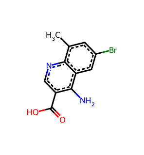 Cc1cc(Br)cc2c(N)c(C(=O)O)cnc12